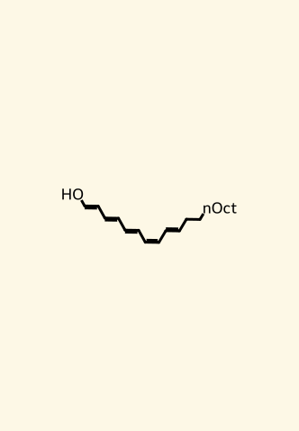 CCCCCCCCCC/C=C/C=C\C=C\C=C\C=C\O